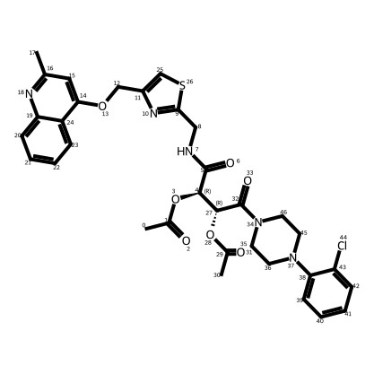 CC(=O)O[C@@H](C(=O)NCc1nc(COc2cc(C)nc3ccccc23)cs1)[C@@H](OC(C)=O)C(=O)N1CCN(c2ccccc2Cl)CC1